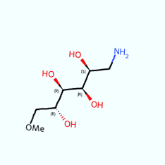 COC[C@@H](O)[C@@H](O)[C@H](O)[C@@H](O)CN